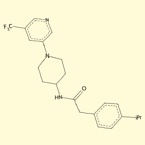 CC(C)c1ccc(CC(=O)NC2CCN(c3cncc(C(F)(F)F)c3)CC2)cc1